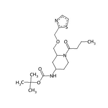 CCCC(=O)N1CCC(NC(=O)OC(C)(C)C)CC1COCc1nccs1